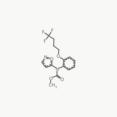 COC(=O)N(c1ccno1)c1ccccc1OCCCC(F)(F)F